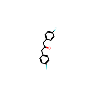 O=C(Cc1ccc(F)cc1)Cc1ccc(F)cc1